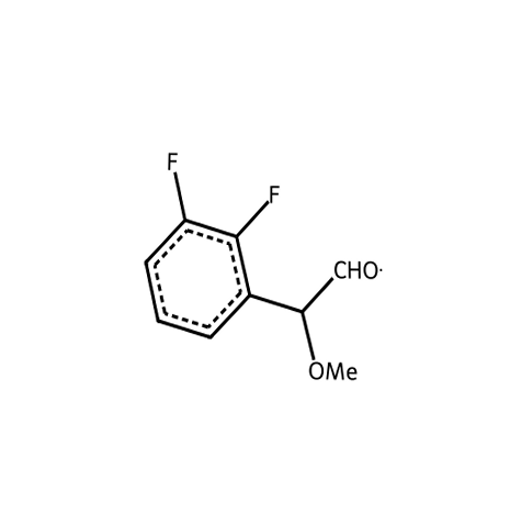 COC([C]=O)c1cccc(F)c1F